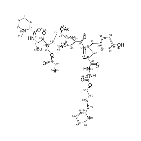 CCC(C)[C@H](NC(=O)[C@H]1CCCCN1C)C(=O)N(COC(=O)CC(C)C)[C@H](C[C@@H](OC(C)=O)c1nc(C(=O)N[C@@H](Cc2ccc(O)cc2)C[C@H](C)C(=O)NNC(=O)OCCSSc2ccccn2)cs1)C(C)C